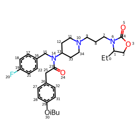 CCC1COC(=O)N1CCCN1CCC(N(Cc2ccc(F)cc2)C(=O)Cc2ccc(OCC(C)C)cc2)CC1